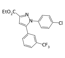 CCOC(=O)c1cc(-c2cccc(C(F)(F)F)c2)n(-c2ccc(Cl)cc2)n1